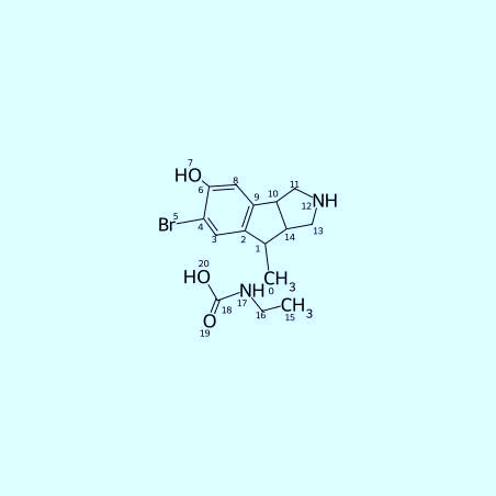 CC1c2cc(Br)c(O)cc2C2CNCC12.CCNC(=O)O